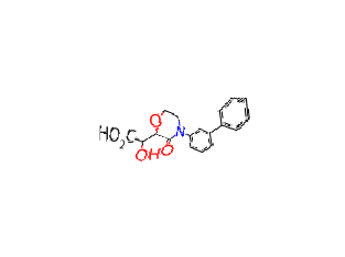 O=C(O)[C@H](O)[C@H]1OCCN(c2cccc(-c3ccccc3)c2)C1=O